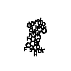 CC(C)(C)OC(=O)Nc1ncccc1[C@@H](C(F)F)N1CCOc2c(Cl)c(-c3ccc(F)c4sc(NC(=O)OC(C)(C)C)c(C#N)c34)c(F)c3nc(OC[C@@]45CCCN4C[C@H](F)C5)nc1c23